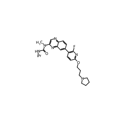 CC(C)NC(=O)N(C)c1cnc2ccc(-c3ccc(OCCCN4CCCC4)nc3F)cc2n1